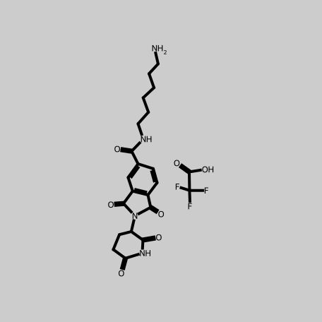 NCCCCCCNC(=O)c1ccc2c(c1)C(=O)N(C1CCC(=O)NC1=O)C2=O.O=C(O)C(F)(F)F